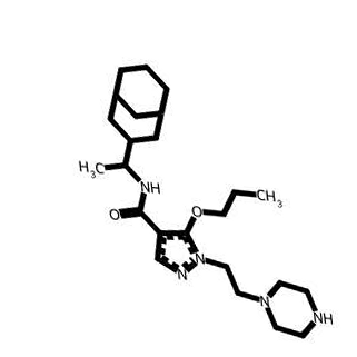 CCCOc1c(C(=O)NC(C)C2CC3CCCC(C3)C2)cnn1CCN1CCNCC1